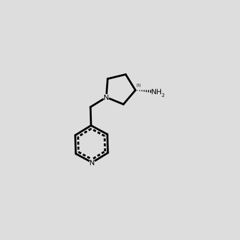 N[C@H]1CCN(Cc2ccncc2)C1